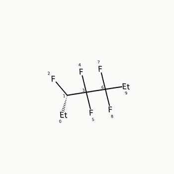 [CH2]C[C@H](F)C(F)(F)C(F)(F)CC